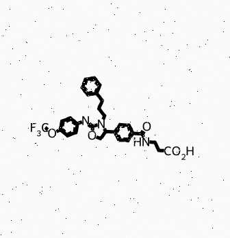 O=C(O)CCNC(=O)c1ccc(C2CO/C(=N\c3ccc(OC(F)(F)F)cc3)N2CCCc2ccccc2)cc1